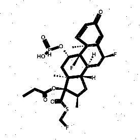 CCC(=O)O[C@]1(C(=O)SCF)[C@H](C)C[C@H]2[C@@H]3C[C@H](F)C4=CC(=O)C=C[C@]4(C)[C@@]3(F)[C@@H](O[PH](=O)O)C[C@@]21C